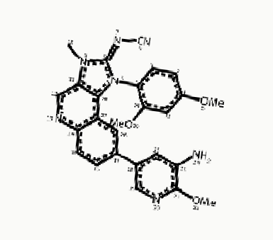 COc1ccc(-n2/c(=N\C#N)n(C)c3cnc4ccc(-c5cnc(OC)c(N)c5)cc4c32)c(OC)c1